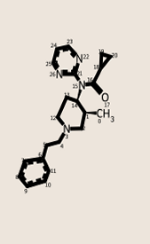 C[C@H]1CN(CCc2ccccc2)CC[C@H]1N(C(=O)C1CC1)c1ncccn1